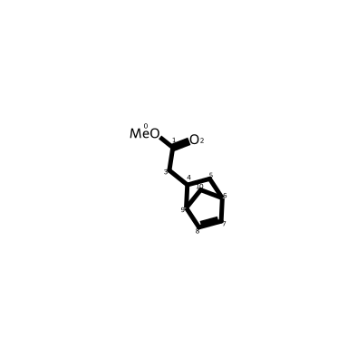 COC(=O)CC1CC2C=CC1C2